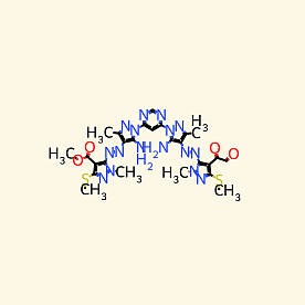 COC(=O)c1c(SC)nn(C)c1/N=N/c1c(C)nn(-c2cc(-n3nc(C)c(/N=N/c4c(C(=O)C=O)c(SC)nn4C)c3N)ncn2)c1N